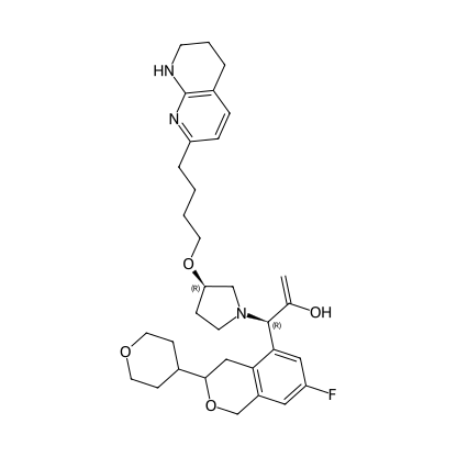 C=C(O)[C@@H](c1cc(F)cc2c1CC(C1CCOCC1)OC2)N1CC[C@@H](OCCCCc2ccc3c(n2)NCCC3)C1